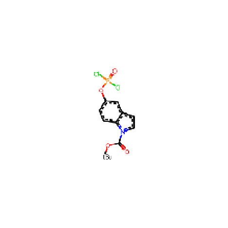 CC(C)(C)OC(=O)n1ccc2cc(OP(=O)(Cl)Cl)ccc21